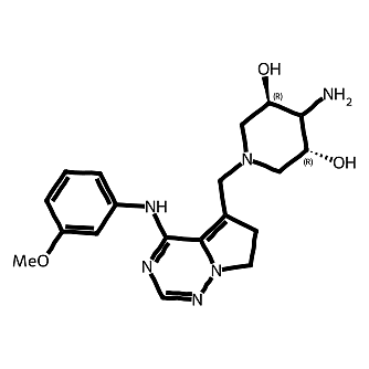 COc1cccc(NC2=NC=NN3CCC(CN4C[C@@H](O)C(N)[C@H](O)C4)=C23)c1